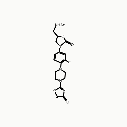 CC(=O)NCC1CN(c2ccc(N3CCN(c4nc(=O)ss4)CC3)c(F)c2)C(=O)O1